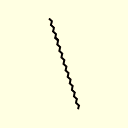 CCCCCCC=CCCCCCCCCCCCCCCCCCCCCC